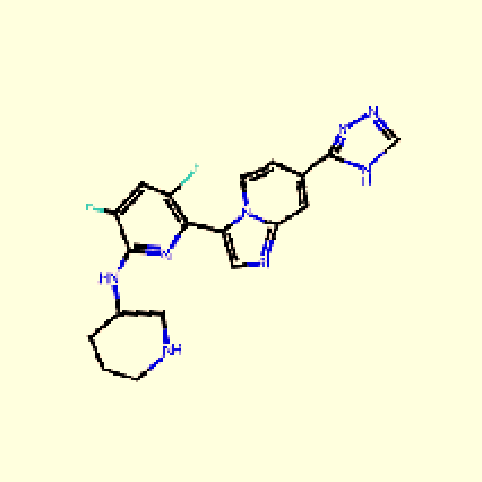 Fc1cc(F)c(-c2cnc3cc(-c4nnc[nH]4)ccn23)nc1NC1CCCNC1